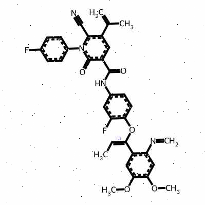 C=Nc1cc(OC)c(OC)cc1/C(=C\C)Oc1ccc(NC(=O)c2cc(C(=C)C)c(C#N)n(-c3ccc(F)cc3)c2=O)cc1F